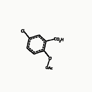 CC(=O)OOc1ccc(Cl)cc1C(=O)O